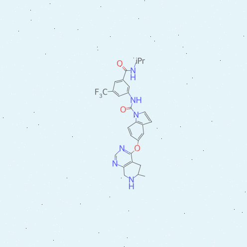 CC(C)NC(=O)c1cc(NC(=O)n2ccc3cc(Oc4ncnc5c4CC(C)NC5)ccc32)cc(C(F)(F)F)c1